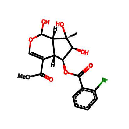 COC(=O)C1=COC(O)[C@H]2[C@@H]1[C@H](OC(=O)c1ccccc1Br)[C@H](O)[C@]2(C)O